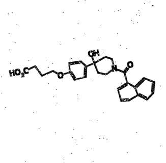 O=C(O)CCCOc1ccc(C2(O)CCN(C(=O)c3cccc4ccccc34)CC2)cc1